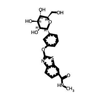 CNC(=O)c1ccc2nc(Oc3cccc([C@H]4O[C@H](CO)[C@@H](O)[C@H](O)[C@H]4O)c3)sc2c1